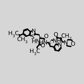 C=C(CN1CCOCC1)C(=O)NC[C@H](Cc1cccnc1)NC(=O)[C@H](Cc1nc2ccc(C(C)C)cc2s1)NC(=O)CC